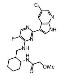 COCC(=O)N[C@@H]1CCCC[C@H]1CNc1nc(-c2c[nH]c3ncc(Cl)cc23)ncc1F